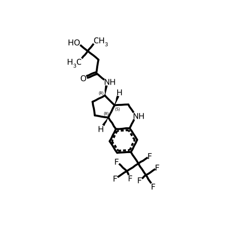 CC(C)(O)CC(=O)N[C@@H]1CC[C@H]2c3ccc(C(F)(C(F)(F)F)C(F)(F)F)cc3NC[C@@H]12